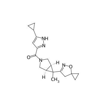 CC1(C2=NOC3(CC3)C2)[C@@H]2CN(C(=O)c3cc(C4CC4)[nH]n3)C[C@@H]21